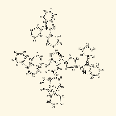 c1ccc(-n2c(-c3ccc(-c4nc(-c5ccc(-c6nc7ccccc7n6-c6ccccc6)cc5)c5cc(-c6ccc7c8c(cccc68)-c6ccccc6-7)cc(-c6ccc7c8c(cccc68)-c6ccccc6-7)c5n4)cc3)nc3ccccc32)cc1